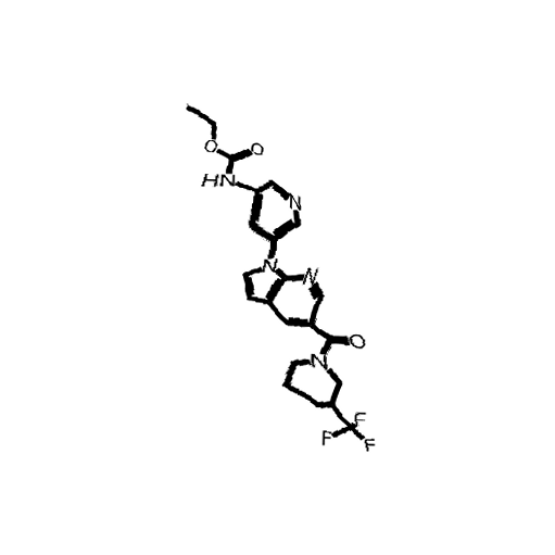 CCOC(=O)Nc1cncc(-n2ccc3cc(C(=O)N4CCCC(C(F)(F)F)C4)cnc32)c1